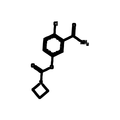 NC(=O)c1cc(OC(=O)N2CCC2)ccc1Cl